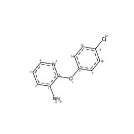 Nc1cccnc1Oc1ccc(Cl)cc1